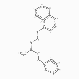 O=C(O)C(CCCc1cccc2ccccc12)CCc1ccccc1